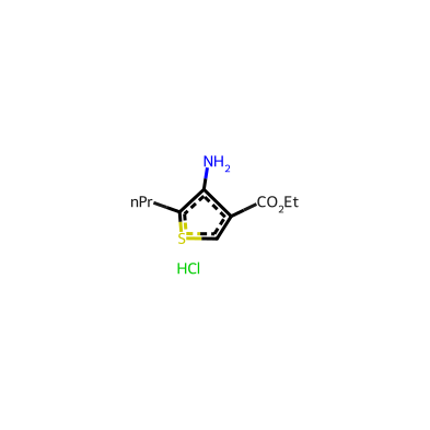 CCCc1scc(C(=O)OCC)c1N.Cl